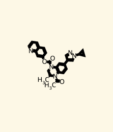 CC(=O)N1c2ccc(-c3cnn(C4CC4)c3)cc2N(C(=O)Oc2ccc3cccnc3c2)C[C@@H]1C